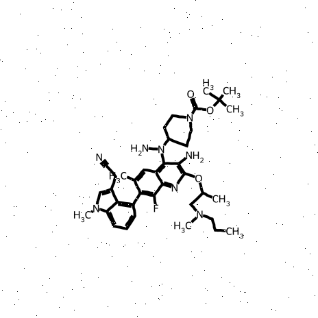 CCCN(C)CC(C)Oc1nc2c(F)c(-c3cccc4c3c(CC#N)cn4C)c(C)cc2c(N(N)C2CCN(C(=O)OC(C)(C)C)CC2)c1N